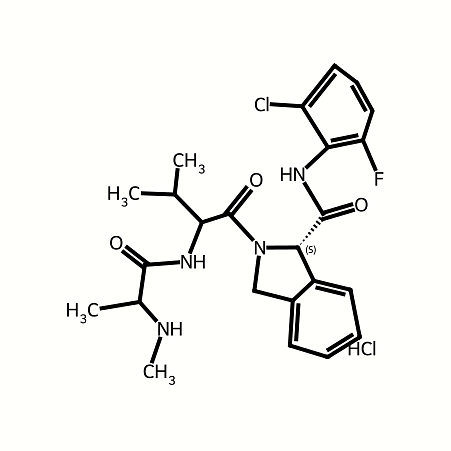 CNC(C)C(=O)NC(C(=O)N1Cc2ccccc2[C@H]1C(=O)Nc1c(F)cccc1Cl)C(C)C.Cl